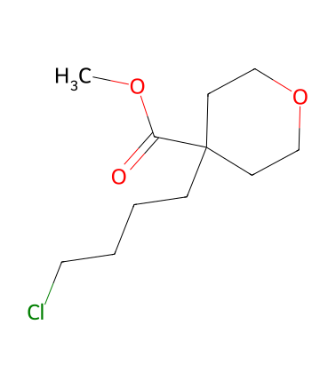 COC(=O)C1(CCCCCl)CCOCC1